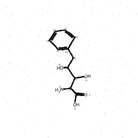 NC(C(=O)O)C(O)C(O)Cc1ccccc1